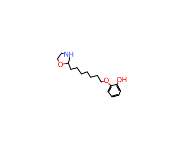 Oc1ccccc1OCCCCCCCC1CNCCO1